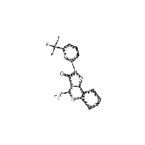 Cc1oc2ccccc2c2nn(-c3cccc(C(F)(F)F)n3)c(=O)c1-2